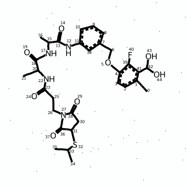 Cc1ccc(OCc2cccc(NC(=O)C(C)NC(=O)C(C)NC(=O)CCN3C(=O)CC(SC(C)C)C3=O)c2)c(F)c1C(O)O